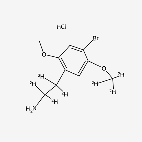 Cl.[2H]C([2H])([2H])Oc1cc(C([2H])([2H])C([2H])([2H])N)c(OC)cc1Br